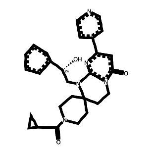 O=C(C1CC1)N1CCC2(CC1)CCn1c(nc(-c3ccncc3)cc1=O)N2C[C@@H](O)c1ccccc1